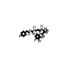 N/C(=N\C(=O)Cc1ccc(F)cc1)NCCCNc1nonc1/C(=N/O)Nc1ccc(F)c(Br)c1